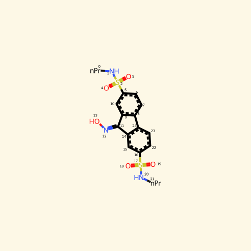 CCCNS(=O)(=O)c1ccc2c(c1)C(=NO)c1cc(S(=O)(=O)NCCC)ccc1-2